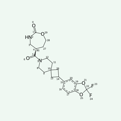 O=C1NC[C@H](C(=O)N2CCC3(CC2)CC(c2ccc4c(c2)OC(F)(F)O4)C3)CCO1